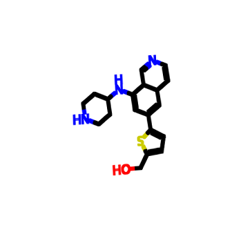 OCc1ccc(C2=CC3C=CN=CC3C(NC3CCNCC3)=C2)s1